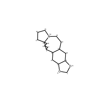 C1CC2C3CC4OCOC4CC3CCN3CCCC23C1